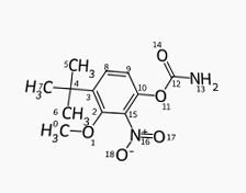 COc1c(C(C)(C)C)ccc(OC(N)=O)c1[N+](=O)[O-]